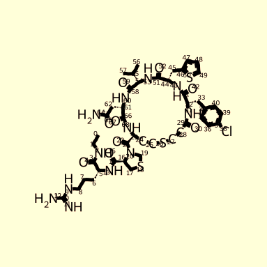 CCNC(=O)[C@@H](CCCNC(=N)N)NC(=O)[C@@H]1CSCN1C(=O)[C@@H]1CCSCCC(=O)N[C@@H](Cc2ccc(Cl)cc2)C(=O)N[C@@H](Cc2cccs2)C(=O)N[C@@H](C(C)C)C(=O)N[C@@H](CC(N)=O)C(=O)N1